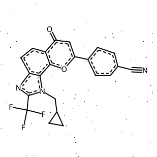 N#Cc1ccc(-c2cc(=O)c3ccc4nc(C(F)(F)F)n(CC5CC5)c4c3o2)cc1